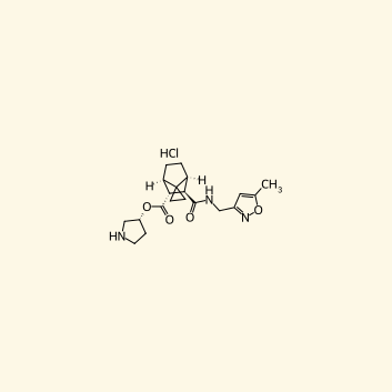 Cc1cc(CNC(=O)[C@H]2[C@H](C(=O)O[C@@H]3CCNC3)[C@H]3CC[C@@H]2C32CC2)no1.Cl